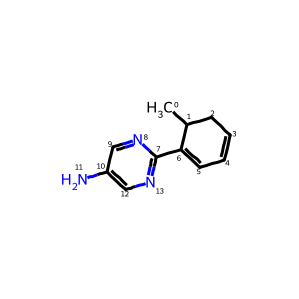 CC1CC=CC=C1c1ncc(N)cn1